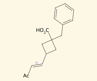 CC(=O)/C=C/C1CC(Cc2ccccc2)(C(=O)O)C1